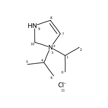 CC(C)[N+]1(C(C)C)C=CNC1.[Cl-]